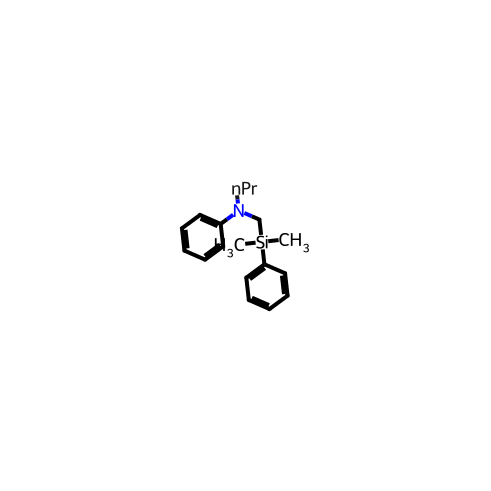 CCCN(C[Si](C)(C)c1ccccc1)c1ccccc1